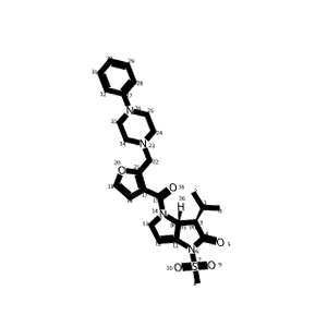 CC(C)[C@H]1C(=O)N(S(C)(=O)=O)C2=CCN(C(=O)c3ccoc3CN3CCN(c4ccccc4)CC3)[C@@H]21